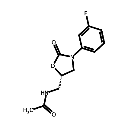 CC(=O)NC[C@H]1CN(c2cccc(F)c2)C(=O)O1